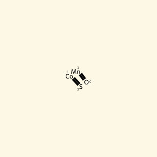 [O]=[Mn].[S]=[Co]